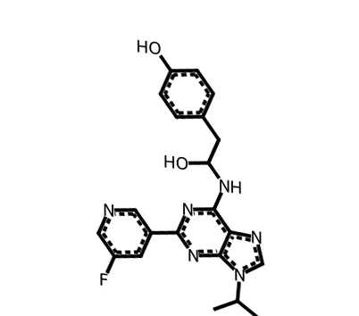 CC(C)n1cnc2c(NC(O)Cc3ccc(O)cc3)nc(-c3cncc(F)c3)nc21